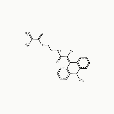 C=C(C)C(=O)OCCNC(=O)C(C#N)=C1c2ccccc2N(C)c2ccccc21